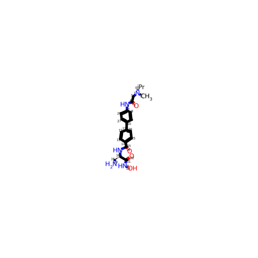 CC(C)N(C)CC(=O)Nc1ccc(-c2ccc(C(=O)N[C@@H](CN)C(=O)NO)cc2)cc1